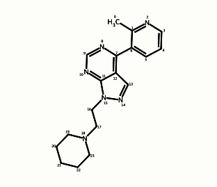 Cc1ncccc1-c1ncnc2c1cnn2CCN1CCCCC1